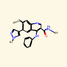 CCn1cc(-c2cc3c(Nc4ccccc4)c(C(=O)NC(C)(C)C)cnc3cc2OC)cn1